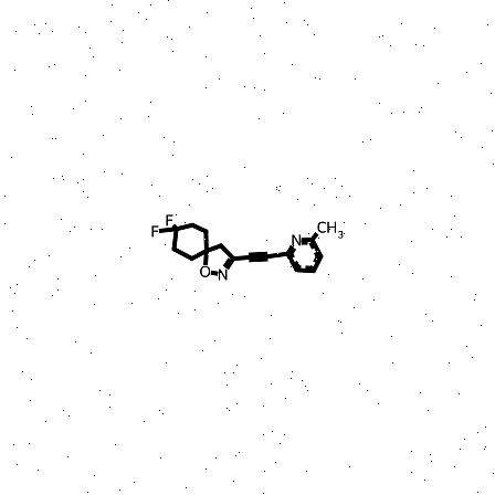 Cc1cccc(C#CC2=NOC3(CCC(F)(F)CC3)C2)n1